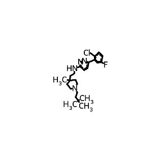 CC(C)(C)CCN1CCC(C)(CCNc2ccc(-c3cc(F)ccc3Cl)nn2)CC1